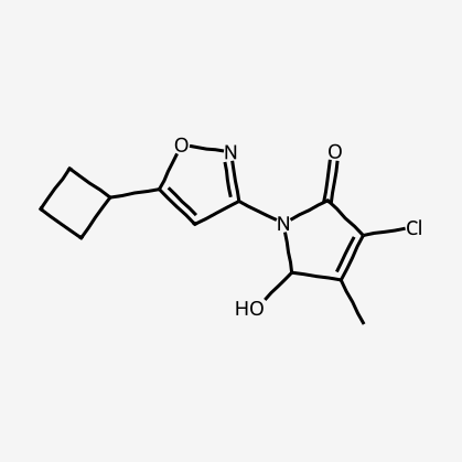 CC1=C(Cl)C(=O)N(c2cc(C3CCC3)on2)C1O